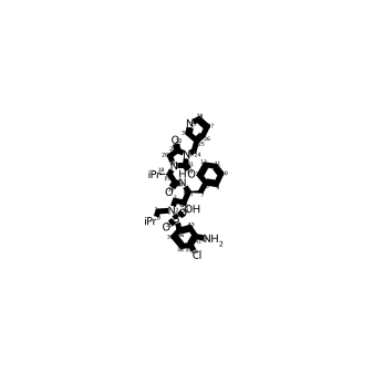 CC(C)CN(C[C@H](O)[C@H](Cc1ccccc1)NC(=O)[C@H](C(C)C)N1CC(=O)N(Cc2cccnc2)C1=O)S(=O)(=O)c1ccc(Cl)c(N)c1